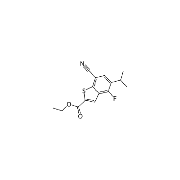 CCOC(=O)c1cc2c(F)c(C(C)C)cc(C#N)c2s1